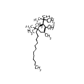 CCCCCCCCCCCCC1(C(C)(C)C)C=C(C(C)(C)C)C(O)=C(C)C1